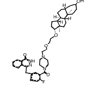 C[C@@]12CCC(O)C[C@H]1CC[C@H]1[C@H]2CC[C@]2(C)[C@@H]1CC[C@H]2OCCOCCN1CCN(C(=O)c2cc(Cc3n[nH]c(=O)c4ccccc34)ccc2F)CC1